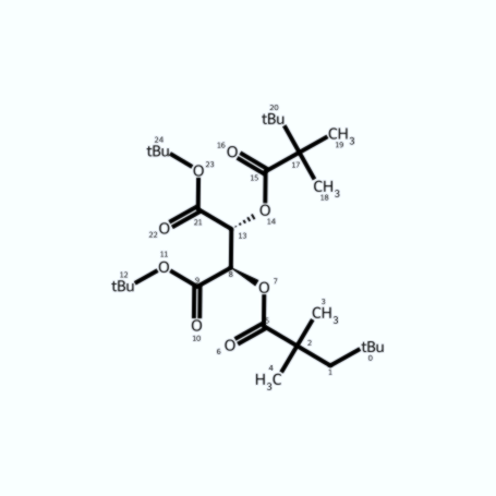 CC(C)(C)CC(C)(C)C(=O)O[C@@H](C(=O)OC(C)(C)C)[C@@H](OC(=O)C(C)(C)C(C)(C)C)C(=O)OC(C)(C)C